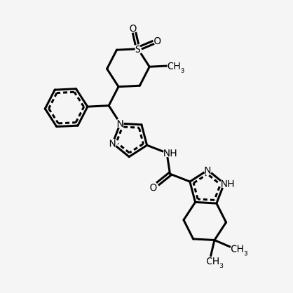 CC1CC(C(c2ccccc2)n2cc(NC(=O)c3n[nH]c4c3CCC(C)(C)C4)cn2)CCS1(=O)=O